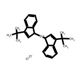 CC(C)(C)C1=C[CH]([Zr+2][CH]2C=C(C(C)(C)C)c3ccccc32)c2ccccc21.[Cl-].[Cl-]